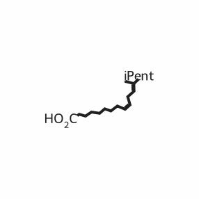 CCCC(C)C/C(C)=C\C/C=C\CCCCCCCC(=O)O